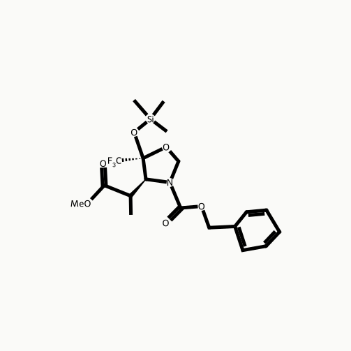 COC(=O)C(C)[C@@H]1N(C(=O)OCc2ccccc2)CO[C@@]1(O[Si](C)(C)C)C(F)(F)F